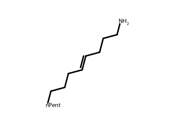 CCCCCCCCC=CCCCN